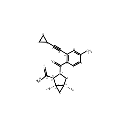 Cc1ccc(C(=O)N2C[C@H]3C[C@H]3[C@H]2C(N)=O)c(C#CC2CC2)c1